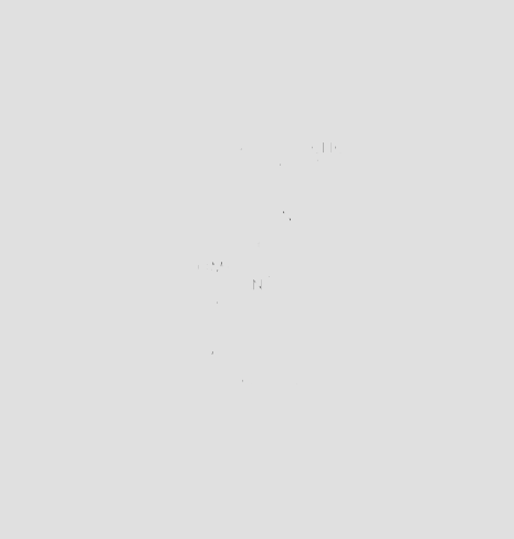 COC1(C)CC=C(C=O)N=C1N1CCCOCC1